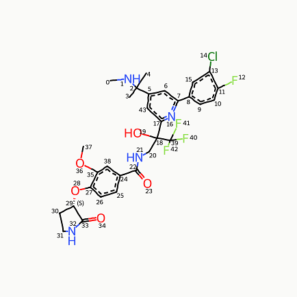 CNC(C)(C)c1cc(-c2ccc(F)c(Cl)c2)nc(C(O)(CNC(=O)c2ccc(O[C@H]3CCNC3=O)c(OC)c2)C(F)(F)F)c1